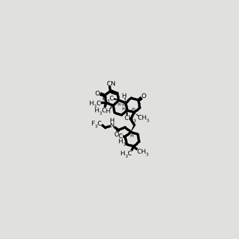 CC1CC(C)(C)CC[C@@]1(CC[C@]1(C)CC(=O)C[C@@H]2[C@@]3(C)C=C(C#N)C(=O)C(C)(C)[C@@H]3CC[C@]21C)CC(=O)NCC(F)(F)F